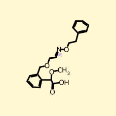 COC(C(=O)O)c1ccccc1COC/C=N/OCCc1ccccc1